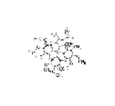 COc1cc([Si](C2=C(C)C(C)=C(C)[C]2(C)[Ti+3])(c2cc(OC)c(OC)c(C)c2C)c2cc(OC)c(OC)c(C)c2C)c(C)c(C)c1OC.[Cl-].[Cl-].[Cl-]